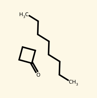 CCCCCCCC.O=C1CCC1